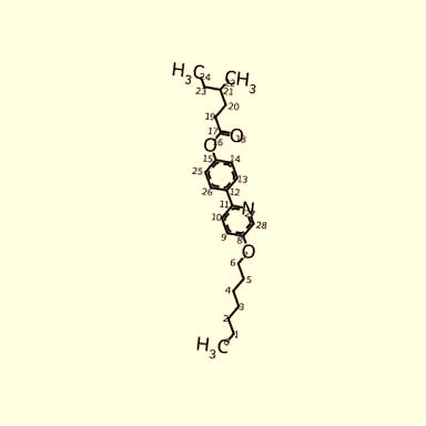 CCCCCCCOc1ccc(-c2ccc(OC(=O)CCC(C)CC)cc2)nc1